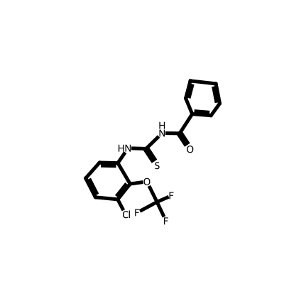 O=C(NC(=S)Nc1cccc(Cl)c1OC(F)(F)F)c1ccccc1